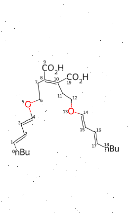 CCCCC=CC=COCCC(C(=O)O)=C(CCOC=CC=CCCCC)C(=O)O